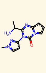 CC(N)c1nc2cccn2c(=O)n1-c1ccn(C)n1